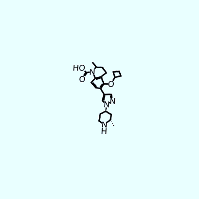 CC1CCc2c(ccc(-c3cnn([C@@H]4CCN[C@@H](C)C4)c3)c2OC2CCC2)N1C(=O)O